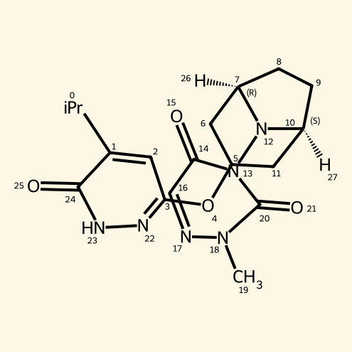 CC(C)c1cc(OC2C[C@H]3CC[C@@H](C2)N3n2c(=O)cnn(C)c2=O)n[nH]c1=O